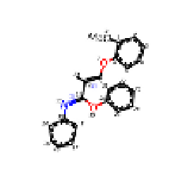 COc1ccccc1O/C=C(C)/C(=N/c1ccccc1)Oc1ccccc1